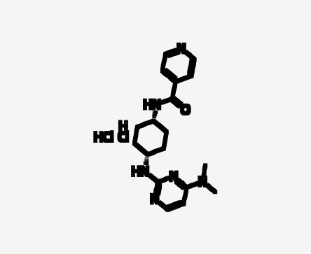 CN(C)c1ccnc(N[C@H]2CC[C@@H](NC(=O)c3ccncc3)CC2)n1.Cl.Cl